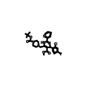 COC(=O)C1=C(CN2CCN(C(=O)OC(C)(C)C)CC2)NC(c2ccccn2)=NC1c1ccc(F)cc1Cl